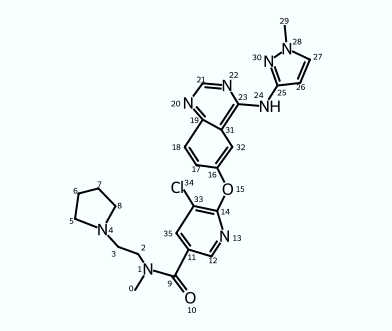 CN(CCN1CCCC1)C(=O)c1cnc(Oc2ccc3ncnc(Nc4ccn(C)n4)c3c2)c(Cl)c1